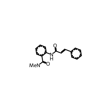 CNC(=O)c1ccccc1NC(=O)C=Cc1ccccc1